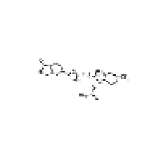 CC(C)(C)C(=O)OC[C@@H](c1ccc(C(F)(F)F)cc1)[C@H](N)CNc1ncc(-c2ccc3c(c2)CNC3=O)s1